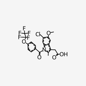 COc1cc2c(CC(=O)O)c(C)n(C(=O)c3ccc(OC(F)(F)C(F)(F)F)cc3)c2cc1Cl